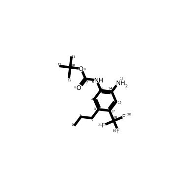 CCCc1cc(NC(=O)OC(C)(C)C)c(N)cc1C(F)(F)F